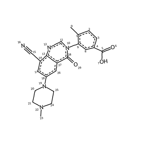 Cc1ccc(C(=O)O)cc1-n1cnc2c(C#N)cc(N3CCN(C)CC3)cc2c1=O